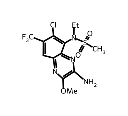 CCN(c1c(Cl)c(C(F)(F)F)cc2nc(OC)c(N)nc12)S(C)(=O)=O